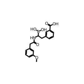 COc1cccc(CC(=O)NC(Cc2cccc(C(=O)O)c2)B(O)O)c1